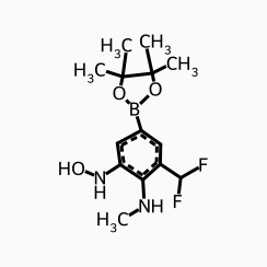 CNc1c(NO)cc(B2OC(C)(C)C(C)(C)O2)cc1C(F)F